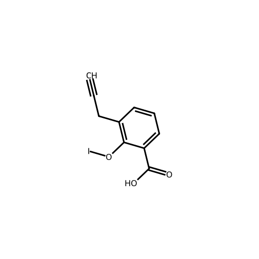 C#CCc1cccc(C(=O)O)c1OI